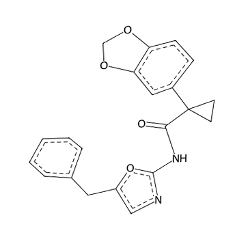 O=C(Nc1ncc(Cc2ccccc2)o1)C1(c2ccc3c(c2)OCO3)CC1